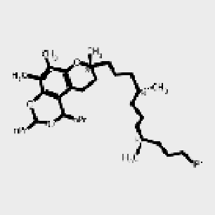 CCCC1Oc2c(C)c(C)c3c(c2C(CCC)O1)CC[C@@](C)(CCC[C@H](C)CCC[C@H](C)CCCC(C)C)O3